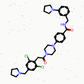 O=C(NCc1cccc(N2CCCC2)c1)c1ccc(N2CCN(C(=O)Cc3c(Cl)cc(CN4CCCC4)cc3Cl)CC2)cc1